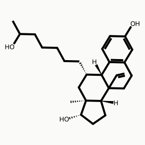 C=CC12CCc3cc(O)ccc3[C@H]1[C@@H](CCCCCC(C)O)C[C@]1(C)[C@@H](O)CC[C@@H]21